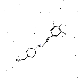 CC[C@H]1CC[C@H](/C=C/C#Cc2cc(F)c(F)c(F)c2)CC1